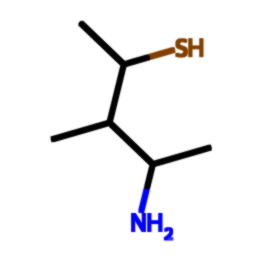 CC(N)C(C)C(C)S